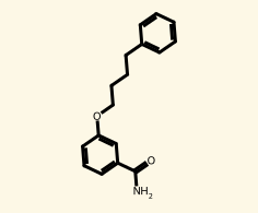 NC(=O)c1cccc(OCCCCc2ccccc2)c1